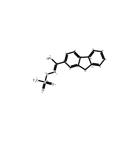 CCCC(=NOS(=O)(=O)C(F)(F)F)c1ccc2c(c1)Cc1ccccc1-2